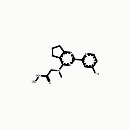 CN(CC(=O)NC(C)(C)C)c1nc(-c2cc(C#N)ccn2)nc2c1CCC2